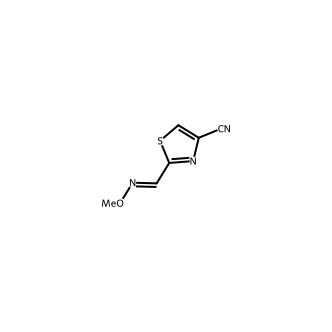 CO/N=C/c1nc(C#N)cs1